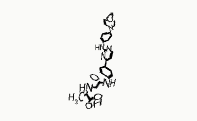 CC(NCC(=O)Nc1ccc(-c2ccnc(Nc3ccc(N4CCOCC4)cc3)n2)cc1)C(=O)O